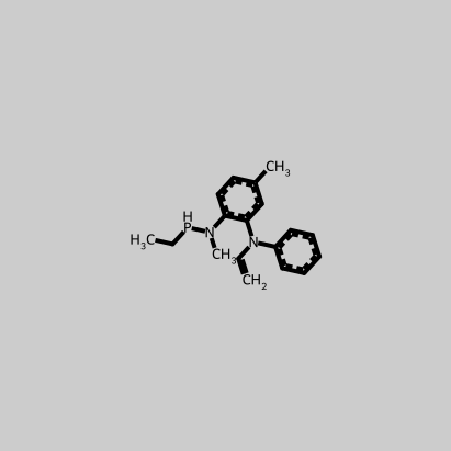 C=CN(c1ccccc1)c1cc(C)ccc1N(C)PCC